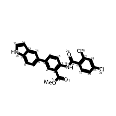 COC(=O)c1cc(-c2ccc3[nH]ccc3c2)ccc1NC(=O)c1ccc(Cl)cc1Cl